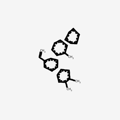 C=Cc1ccccc1.Cc1ccccc1.Cc1ccccc1C.c1ccccc1